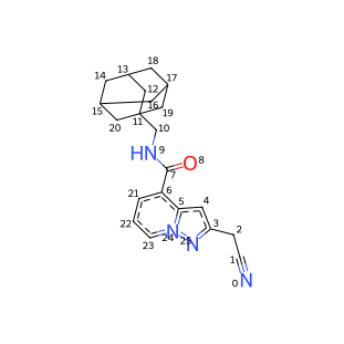 N#CCc1cc2c(C(=O)NCC34CC5CC(CC(C5)C3)C4)cccn2n1